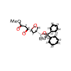 COC(=O)CC(=O)[C@H]1C[C@@H](CO[Si](c2ccccc2)(c2ccccc2)C(C)(C)C)CO1